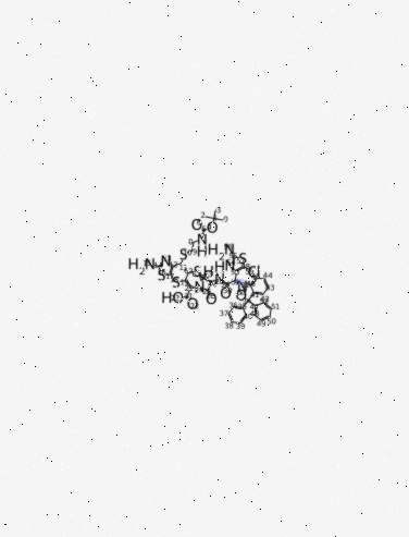 CC(C)(C)OC(=O)NCCSCc1nc(N)sc1SC1=C(C(=O)O)N2C(=O)[C@@H](NC(=O)/C(=N\OC(c3ccccc3)(c3ccccc3)c3ccccc3)c3nc(N)sc3Cl)[C@H]2SC1